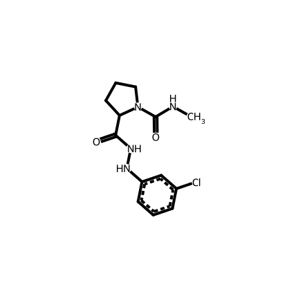 CNC(=O)N1CCCC1C(=O)NNc1cccc(Cl)c1